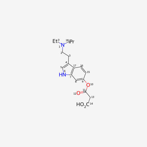 CCN(CCc1c[nH]c2cc(OC(=O)CC(=O)O)ccc12)C(C)C